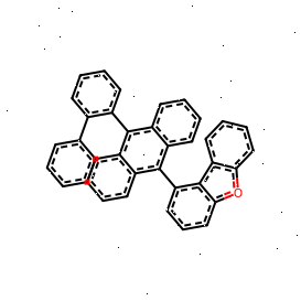 c1ccc(-c2ccccc2-c2c3ccccc3c(-c3cccc4oc5ccccc5c34)c3ccccc23)cc1